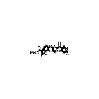 CNC(=O)c1c(C)oc2cc(Oc3ccnc(Nc4ccc(C)nc4)n3)ccc12